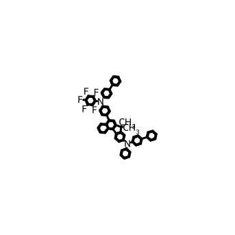 CC1(C)c2cc(N(c3ccccc3)c3ccc(-c4ccccc4)cc3)ccc2-c2c1cc(-c1ccc(N(c3ccc(-c4ccccc4)cc3)c3c(F)c(F)c(F)c(F)c3F)cc1)c1ccccc21